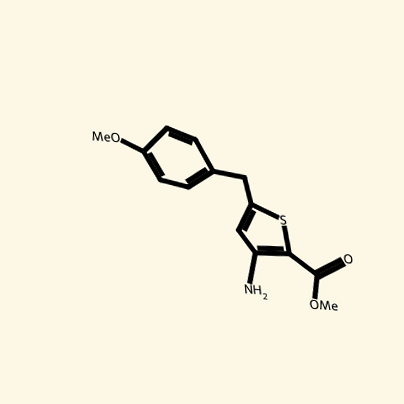 COC(=O)c1sc(Cc2ccc(OC)cc2)cc1N